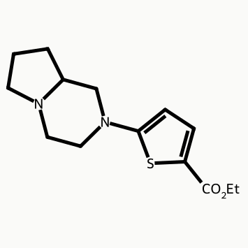 CCOC(=O)c1ccc(N2CCN3CCCC3C2)s1